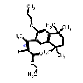 CCCOc1cc2c(cc1/C(C)=C(/F)C(=O)OCC)C(C)(C)CCC2(C)C